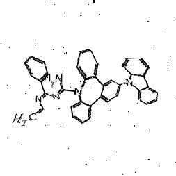 C=C/N=C(\N=C(/N)N1c2ccccc2-c2ccc(N3c4ccccc4C4C=CC=CC43)cc2-c2ccccc21)c1ccccc1